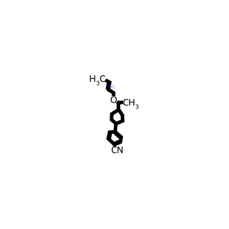 C/C=C/COC(C)C1CCC(c2ccc(C#N)cc2)CC1